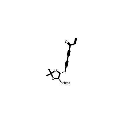 C=CC(=O)C#CC#CC[C@H]1OC(C)(C)O[C@@H]1CCCCCCC